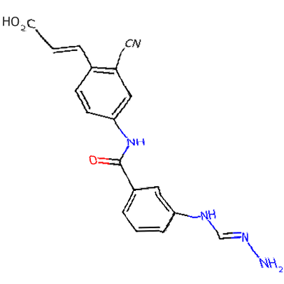 N#Cc1cc(NC(=O)c2cccc(NC=NN)c2)ccc1C=CC(=O)O